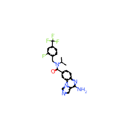 CC(C)N(Cc1ccc(C(F)(F)F)cc1F)C(=O)c1ccc2nc(N)c3cncn3c2c1